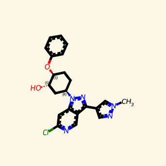 Cn1cc(-c2nn([C@@H]3CC[C@H](Oc4ccccc4)[C@@H](O)C3)c3cc(Cl)ncc23)cn1